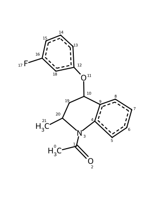 CC(=O)N1c2ccccc2C(Oc2cccc(F)c2)CC1C